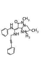 CC(C)CN1C(=N)/C(=C(\NCC#Cc2ccccc2)Nc2ccccc2)C(=O)N1C